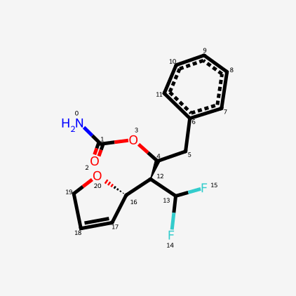 NC(=O)OC(Cc1ccccc1)[C@@H](C(F)F)[C@@H]1C=CCO1